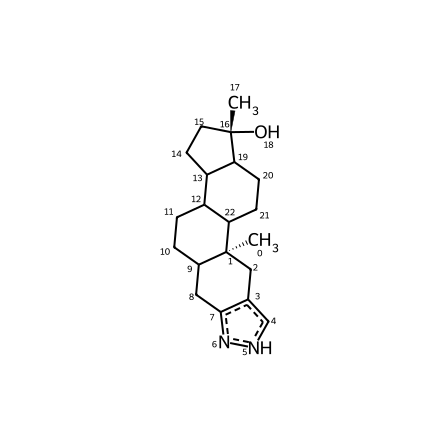 C[C@]12Cc3c[nH]nc3CC1CCC1C3CC[C@](C)(O)C3CCC12